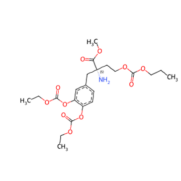 CCCOC(=O)OCC[C@@](N)(Cc1ccc(OC(=O)OCC)c(OC(=O)OCC)c1)C(=O)OC